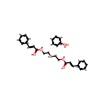 O=C(C=Cc1ccccc1)OCCSCCOC(=O)C=Cc1ccccc1.Oc1ccccc1